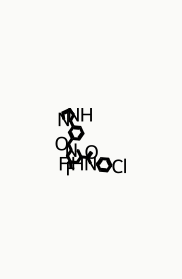 O=C(Nc1ccc(Cl)cc1)C1CN(C(=O)c2cccc(-c3ncc[nH]3)c2)CC(F)(F)C1